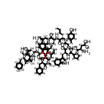 CCCC[C@H](NC(=O)[C@H](Cc1ccc(O)cc1)NC(=O)[C@H](Cc1c[nH]c2ccccc12)NC(=O)C1CCCN1C(=O)[C@@H](N)CC(=O)O)C(=O)N[C@@H](CSCC(=O)N[C@@H](Cc1cc(F)c(F)c(F)c1)C(=O)N(C)C(Cc1ccccc1)C(=O)N(C)[C@@H](CCCC)C(=O)N1CCC[C@@H]1C(=O)N[C@@H](CC(=O)O)N[C@H](C(=O)N(C)[C@@H](Cc1ccccc1)C(C)=O)C(C)C)C(=O)NCC(N)=O